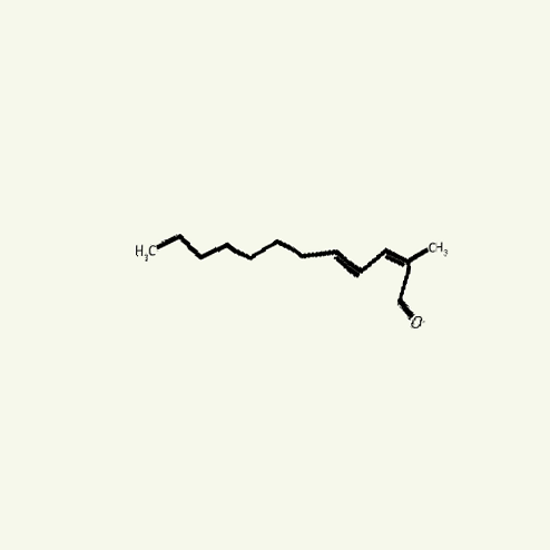 CCCCCCCC=CC=C(C)C[O]